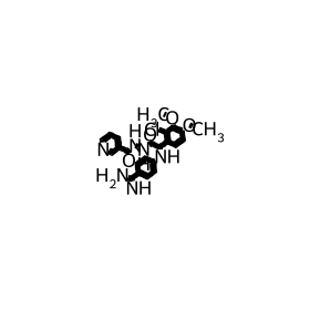 COc1ccc(C(Nc2ccc(C(=N)N)cc2)C(=O)NNC(=O)c2cccnc2)c(Cl)c1OC